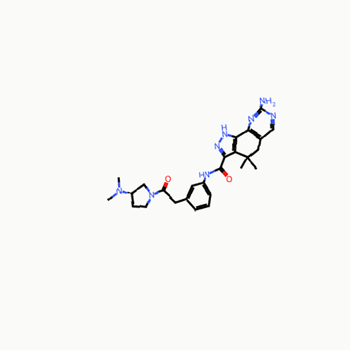 CN(C)[C@@H]1CCN(C(=O)Cc2cccc(NC(=O)c3n[nH]c4c3C(C)(C)Cc3cnc(N)nc3-4)c2)C1